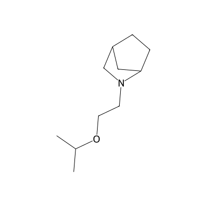 CC(C)OCCN1CC2CCC1C2